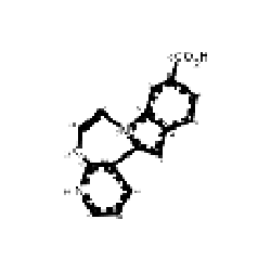 O=C(O)c1ccc2cc3n(c2c1)C=COc1ncccc1-3